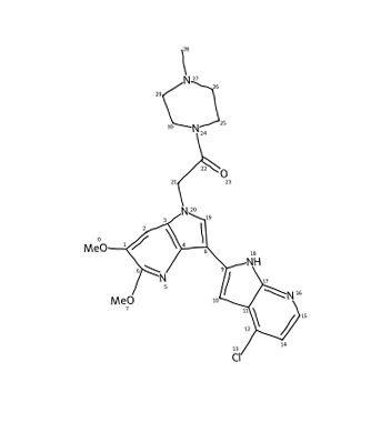 COc1cc2c(nc1OC)c(-c1cc3c(Cl)ccnc3[nH]1)cn2CC(=O)N1CCN(C)CC1